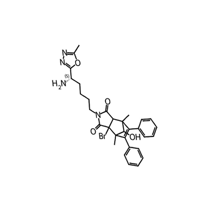 Cc1nnc([C@@H](N)CCCCN2C(=O)C3C4(C)C(c5ccccc5)=C(c5ccccc5)C(C)(C4O)C3(Br)C2=O)o1